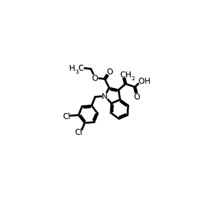 C=C(C(=O)O)c1c(C(=O)OCC)n(Cc2ccc(Cl)c(Cl)c2)c2ccccc12